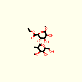 CCOC(=O)C1OC(OC)C(O)C(O)[C@@H]1O[C@@H]1OC(CO)C(O)C(OC)C1C